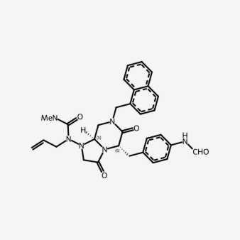 C=CCN(C(=O)NC)N1CC(=O)N2[C@@H](Cc3ccc(NC=O)cc3)C(=O)N(Cc3cccc4ccccc34)C[C@@H]21